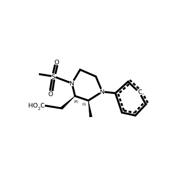 C[C@H]1[C@@H](CC(=O)O)N(S(C)(=O)=O)CCN1c1ccccc1